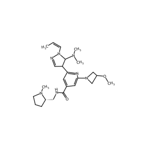 C/C=C\N1N=CC(c2cc(C(=O)NC[C@@H]3CCCN3C)cc(N3CC(OC)C3)n2)C1N(C)C